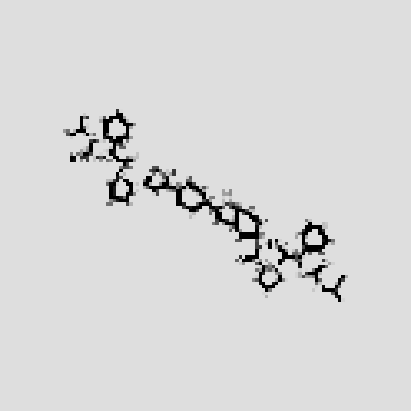 CC(C)OC(=O)N[C@@H](C(=O)N1CCC[C@H]1C(=O)Nc1ccc2[nH]c(-c3ccc(-c4cc([C@@H]5CCCN5C(=O)[C@H](NC(O)OC(C)C)c5ccccc5)n[nH]4)cc3)cc2c1)c1ccccc1